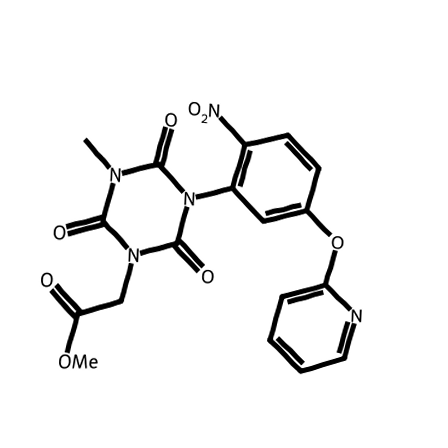 COC(=O)Cn1c(=O)n(C)c(=O)n(-c2cc(Oc3ccccn3)ccc2[N+](=O)[O-])c1=O